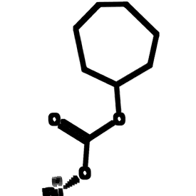 CC[C@@H](C)OC(=O)OC1CCCCCC1